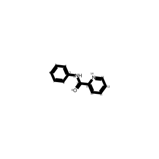 O=C(Nc1ccccc1)c1cc[c]cn1